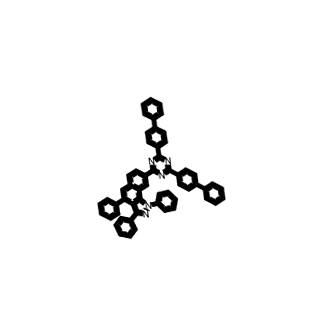 c1ccc(-c2ccc(-c3nc(-c4ccc(-c5ccccc5)cc4)nc(-c4ccc5cc(-c6ccccc6)c6c(-c7ccccc7)nn(-c7ccccc7)c6c5c4)n3)cc2)cc1